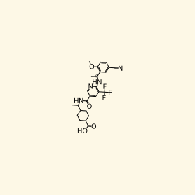 COc1ccc(C#N)cc1[C@H](C)Nc1ncc(C(=O)NC(C)C2CCC(C(=O)O)CC2)cc1C(F)(F)F